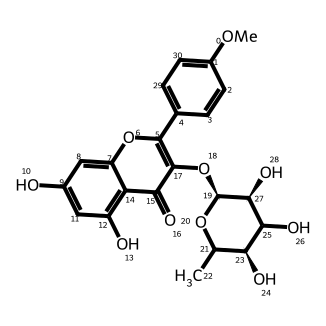 COc1ccc(-c2oc3cc(O)cc(O)c3c(=O)c2O[C@@H]2OC(C)[C@H](O)C(O)[C@@H]2O)cc1